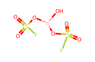 O=S(=O)(F)OB(O)OS(=O)(=O)F